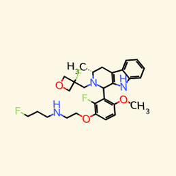 COc1ccc(OCCNCCCF)c(F)c1C1c2[nH]c3ccccc3c2C[C@@H](C)N1CC1(F)COC1